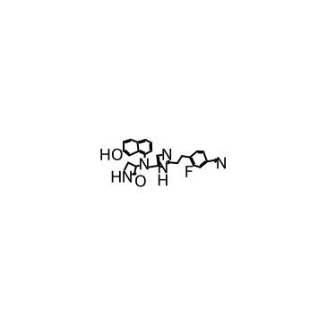 N#Cc1ccc(CCc2ncc(CN(c3cccc4ccc(O)cc34)C3CCNC3=O)[nH]2)c(F)c1